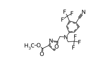 COC(=O)c1coc(CN(CC(F)(F)F)c2ccc(C#N)c(C(F)(F)F)c2)n1